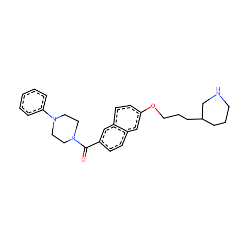 O=C(c1ccc2cc(OCCCC3CCCNC3)ccc2c1)N1CCN(c2ccccc2)CC1